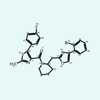 Cc1nc(C(=O)N2CCCCC2Cc2nc(-c3ccccc3Br)co2)c(-c2ccc(F)cc2)s1